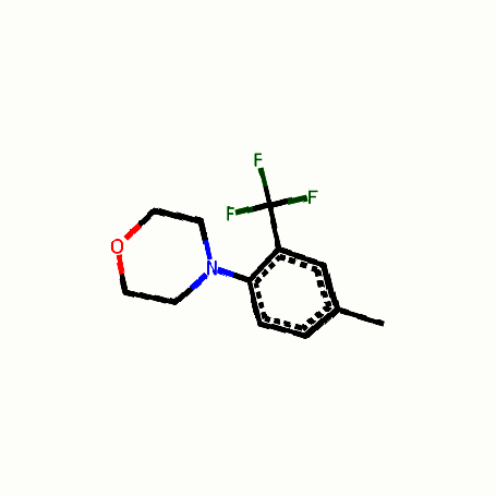 Cc1ccc(N2CCOCC2)c(C(F)(F)F)c1